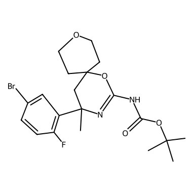 CC(C)(C)OC(=O)NC1=NC(C)(c2cc(Br)ccc2F)CC2(CCOCC2)O1